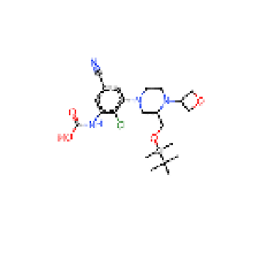 CC(C)(C)[Si](C)(C)OCC1CN(c2cc(C#N)cc(NC(=O)O)c2Cl)CCN1C1COC1